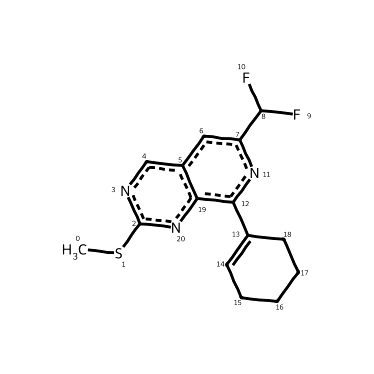 CSc1ncc2cc(C(F)F)nc(C3=CCCCC3)c2n1